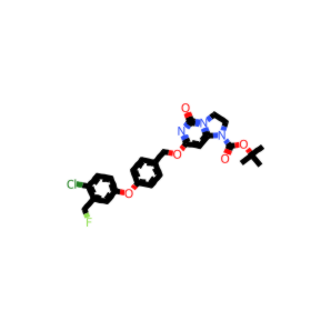 CC(C)(C)OC(=O)N1CCn2c1cc(OCc1ccc(Oc3ccc(Cl)c(CF)c3)cc1)nc2=O